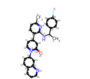 CC(Nc1nc(C(F)(F)F)ccc1-c1ccn(-c2ccc3cccnc3c2)c(=O)c1)c1ccc(F)cc1